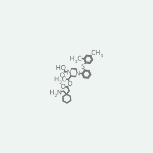 Cc1ccc(Sc2ccccc2N2CCN(C(=O)O)C(C(C)OC(=O)CC3(CN)CCCCC3)C2)c(C)c1